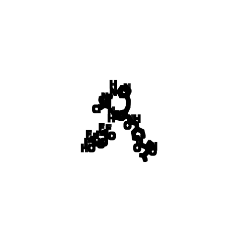 CC(C)c1oncc1C(=O)N1CCC(CC(=O)Nc2ccc3cc2CCc2cncc(c2)Nc2ncc(Cl)c(n2)N3)CC1.O=C(O)C(F)(F)F.O=C(O)C(F)(F)F